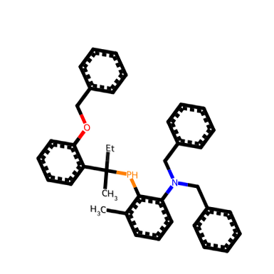 CCC(C)(Pc1c(C)cccc1N(Cc1ccccc1)Cc1ccccc1)c1ccccc1OCc1ccccc1